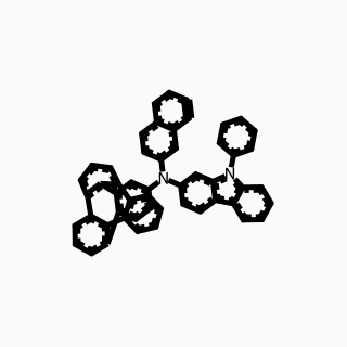 c1ccc2ccc(N(c3ccc4c(c3)-c3c5cccc3-c3cccc-4c3-c3ccccc3-5)c3ccc4c5ccccc5n(-c5ccccc5)c4c3)cc2c#1